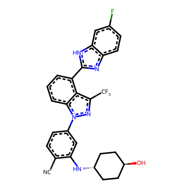 N#Cc1ccc(-n2nc(C(F)(F)F)c3c(-c4nc5ccc(F)cc5[nH]4)cccc32)cc1N[C@H]1CC[C@H](O)CC1